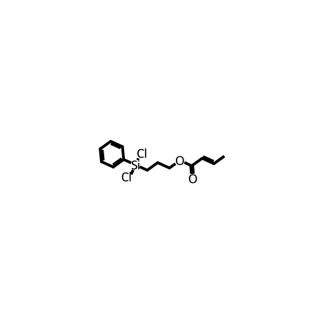 CC=CC(=O)OCCC[Si](Cl)(Cl)c1ccccc1